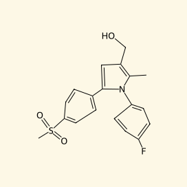 Cc1c(CO)cc(-c2ccc(S(C)(=O)=O)cc2)n1-c1ccc(F)cc1